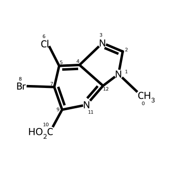 Cn1cnc2c(Cl)c(Br)c(C(=O)O)nc21